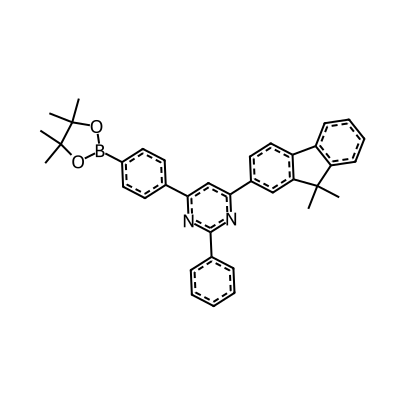 CC1(C)c2ccccc2-c2ccc(-c3cc(-c4ccc(B5OC(C)(C)C(C)(C)O5)cc4)nc(-c4ccccc4)n3)cc21